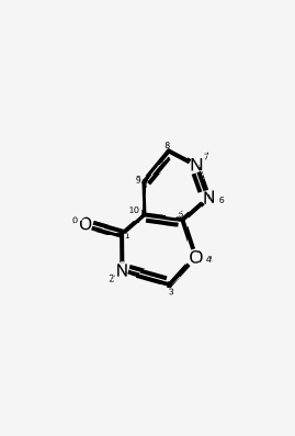 O=c1ncoc2nnccc12